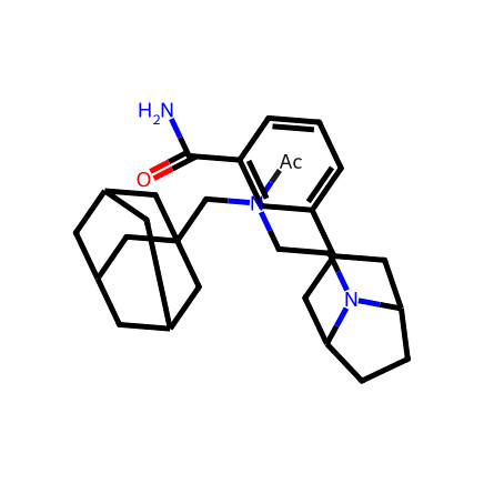 CC(=O)N(CCN1C2CCC1CC(c1cccc(C(N)=O)c1)C2)CC12CC3CC(CC(C3)C1)C2